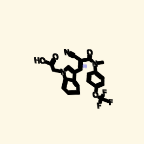 CN(C(=O)/C(C#N)=C/c1cn(CC(=O)O)c2ccccc12)c1ccc(OC(F)(F)F)cc1